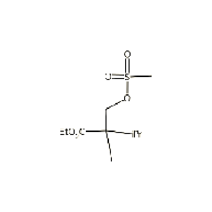 CCOC(=O)C(C)(COS(C)(=O)=O)C(C)C